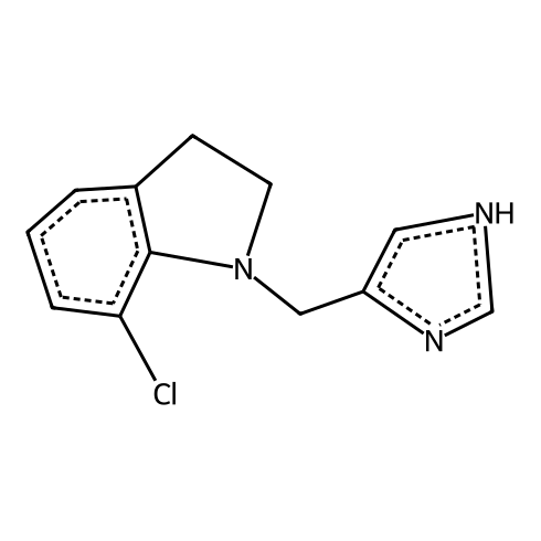 Clc1cccc2c1N(Cc1c[nH]cn1)CC2